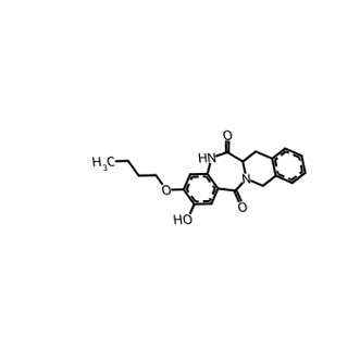 CCCCOc1cc2c(cc1O)C(=O)N1Cc3ccccc3CC1C(=O)N2